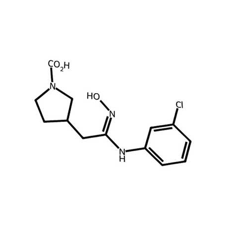 O=C(O)N1CCC(CC(=NO)Nc2cccc(Cl)c2)C1